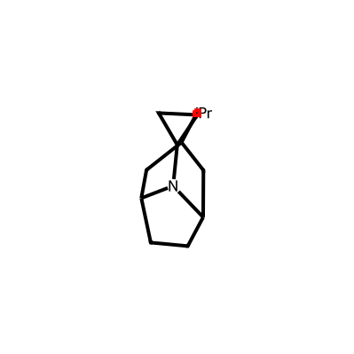 CC(C)C1CC2CCC(C1)N2C1CC1